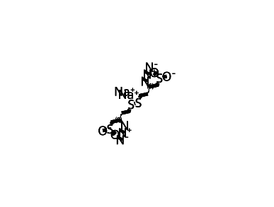 [N-]=[N+]=N[C@@H](CCSSCC[C@@H](CS(=O)[O-])N=[N+]=[N-])CS(=O)[O-].[Na+].[Na+]